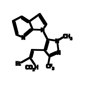 CCC(=Cc1c(C(F)(F)F)nn(C)c1-n1ccc2cccnc21)C(=O)O